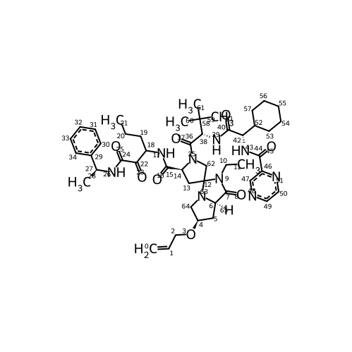 C=CCO[C@@H]1C[C@@H]2C(=O)N(CC)C3(C[C@@H](C(=O)NC(CCC)C(=O)C(=O)N[C@@H](C)c4ccccc4)N(C(=O)[C@@H](NC(=O)[C@@H](NC(=O)c4cnccn4)C4CCCCC4)C(C)(C)C)C3)N2C1